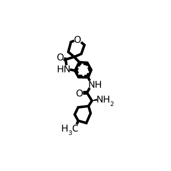 CC1CCC([C@H](N)C(=O)Nc2ccc3c(c2)NC(=O)C32CCOCC2)CC1